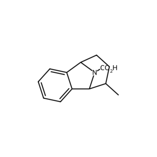 CC1CCC2c3ccccc3C1N2C(=O)O